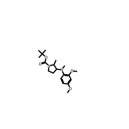 COc1ccc(N(C)C2CCN(C(=O)OC(C)(C)C)C2C)c(OC)c1